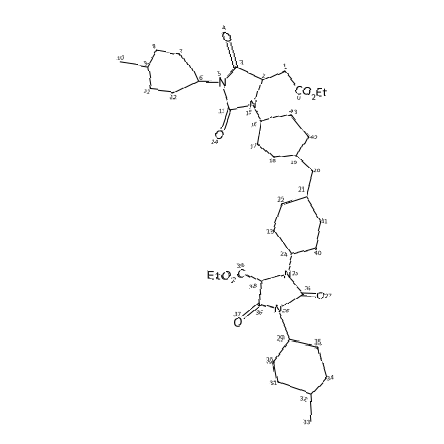 CCOC(=O)CC1C(=O)N(C2CCC(C)CC2)C(=O)N1C1CCC(CC2CCC(N3C(=O)N(C4CCC(C)CC4)C(=O)C3C(=O)OCC)CC2)CC1